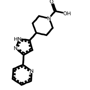 O=C(O)N1CCC(c2cc(-c3ccccn3)n[nH]2)CC1